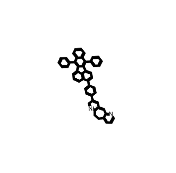 N=C/C(=C\C1=Cc2ncccc2CCC1)c1ccc(-c2ccc3c4c(cccc24)-c2c-3c(-c3ccccc3)c3ccccc3c2-c2ccccc2)cc1